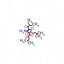 CCC(C)C(=O)C1=C(N)[C@@](O)(C(=O)CCC(C)C)[C@H](CCC(C)C)C1=O